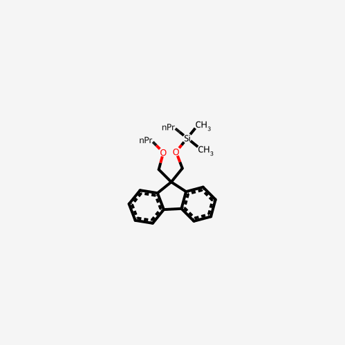 CCCOCC1(CO[Si](C)(C)CCC)c2ccccc2-c2ccccc21